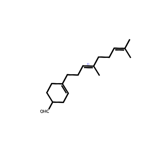 CC(C)=CCC/C(C)=C/CCC1=CCC(C=O)CC1